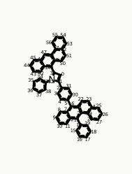 C1=C(c2ccc(-c3c4ccccc4c(-c4ccccc4)c4c3ccc3ccccc34)cc2)N(c2ccccc2)C1c1c2ccccc2cc2c1ccc1ccccc12